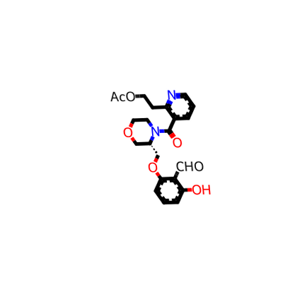 CC(=O)OCCc1ncccc1C(=O)N1CCOC[C@H]1COc1cccc(O)c1C=O